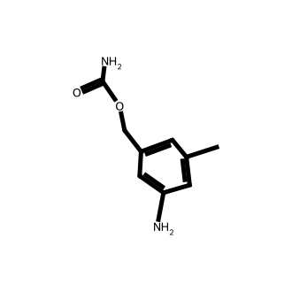 Cc1cc(N)cc(COC(N)=O)c1